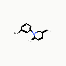 C=C1C=CC(=C)N(c2cccc(C)c2)C1